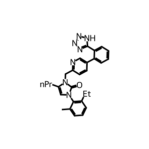 CCCc1cn(-c2c(C)cccc2CC)c(=O)n1Cc1ccc(-c2ccccc2-c2nnn[nH]2)cn1